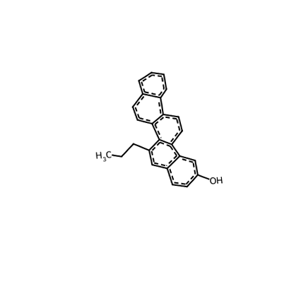 CCCc1cc2ccc(O)cc2c2ccc3c4ccccc4ccc3c12